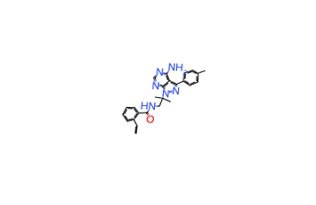 C=Cc1ccccc1C(=O)NCC(C)(C)n1nc(-c2ccc(C)cc2)c2c(N)ncnc21